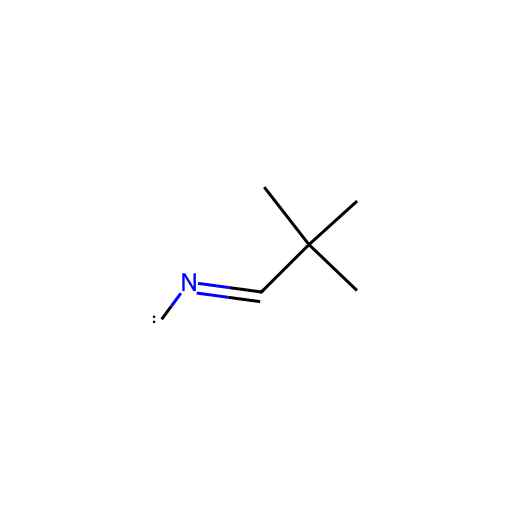 [CH]/N=C/C(C)(C)C